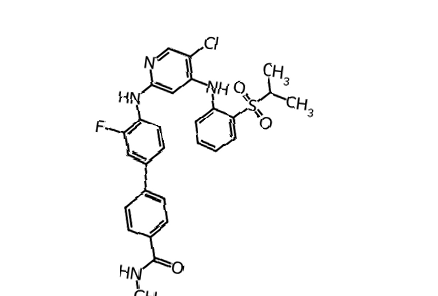 CNC(=O)c1ccc(-c2ccc(Nc3cc(Nc4ccccc4S(=O)(=O)C(C)C)c(Cl)cn3)c(F)c2)cc1